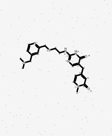 CN(C)Cc1ccnc(CSCCNc2ncc(Cc3ccn(C)c(=O)c3)c(=O)[nH]2)c1